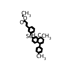 CCOC(=O)/C=C/c1cccc([Se]c2ccc3c(c2)C(C)(C)CC=C3c2ccc(C)cc2)c1